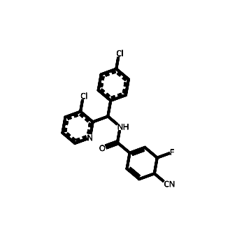 N#CC1C=CC(C(=O)NC(c2ccc(Cl)cc2)c2ncccc2Cl)=CC1F